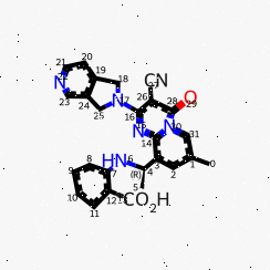 Cc1cc([C@@H](C)Nc2ccccc2C(=O)O)c2nc(N3Cc4ccncc4C3)c(C#N)c(=O)n2c1